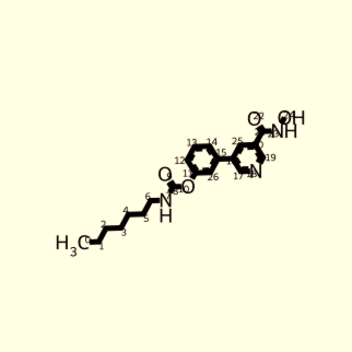 CCCCCCCNC(=O)Oc1cccc(-c2cncc(C(=O)NO)c2)c1